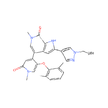 CSCn1cc(-c2cc3c(-c4cc(=O)n(C)cc4Oc4c(C)cccc4C)cn(C)c(=O)c3[nH]2)cn1